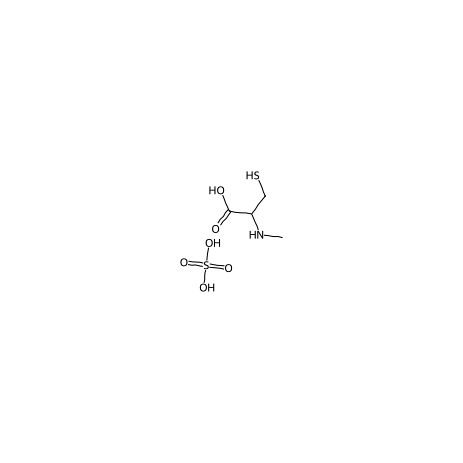 CNC(CS)C(=O)O.O=S(=O)(O)O